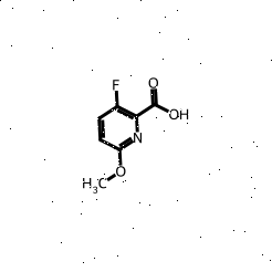 COc1ccc(F)c(C(=O)O)n1